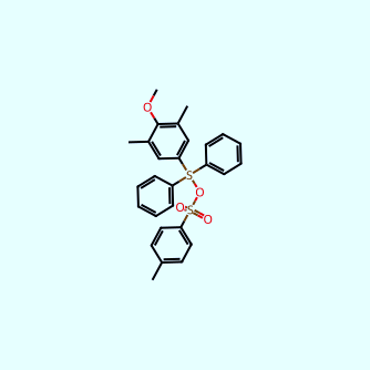 COc1c(C)cc(S(OS(=O)(=O)c2ccc(C)cc2)(c2ccccc2)c2ccccc2)cc1C